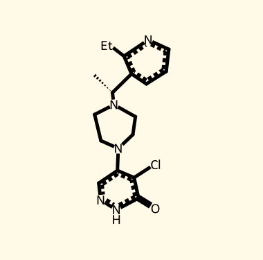 CCc1ncccc1[C@@H](C)N1CCN(c2cn[nH]c(=O)c2Cl)CC1